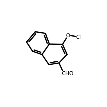 O=Cc1cc(OCl)c2ccccc2c1